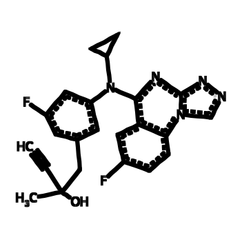 C#CC(C)(O)Cc1cc(F)cc(N(c2nc3nncn3c3ccc(F)cc23)C2CC2)c1